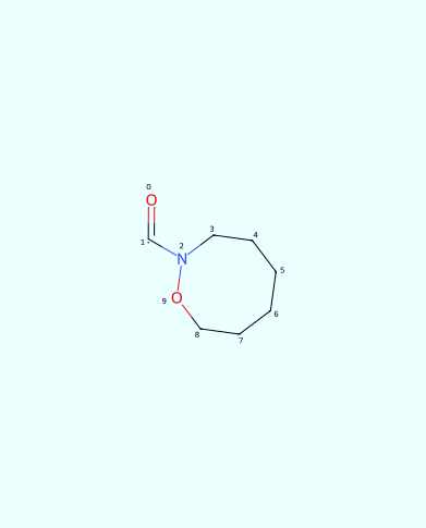 O=[C]N1CCCCCCO1